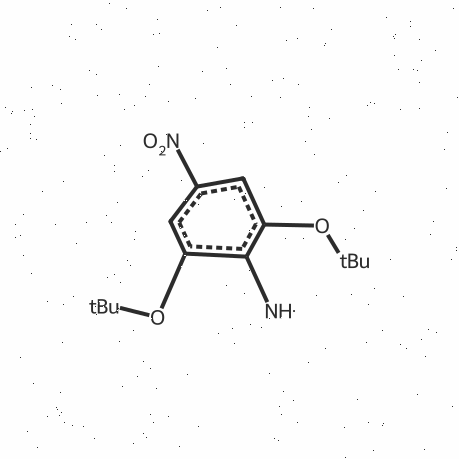 CC(C)(C)Oc1cc([N+](=O)[O-])cc(OC(C)(C)C)c1[NH]